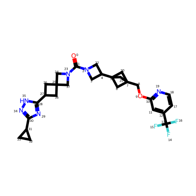 O=C(N1CC(C23CC(COc4cc(C(F)(F)F)ccn4)(C2)C3)C1)N1CC2(CC(c3nc(C4CC4)n[nH]3)C2)C1